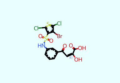 O=C(O)/C(O)=C\C(=O)c1cccc(NS(=O)(=O)c2c(Cl)sc(Cl)c2Br)c1